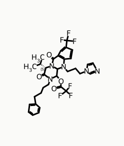 CC(C)[C@H]1C(=O)N(CCCCc2ccccc2)C(OC(=O)C(F)(F)F)C2N(CCCn3ccnc3)c3ccc(C(F)(F)F)cc3C(=O)N21